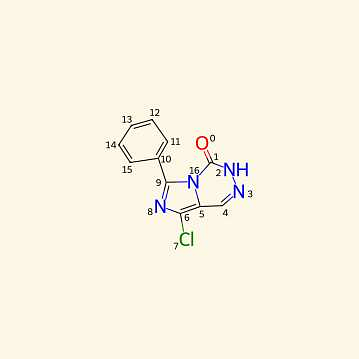 O=c1[nH]ncc2c(Cl)nc(-c3ccccc3)n12